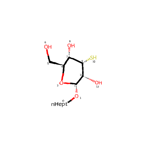 CCCCCCCO[C@@H]1O[C@@H](CO)[C@H](O)[C@H](S)[C@@H]1O